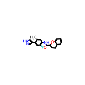 Cc1cc(NC(=O)C2CCc3ccccc3O2)c(F)cc1-c1cn[nH]c1